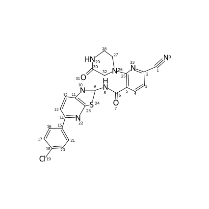 N#Cc1ccc(C(=O)Nc2nc3ccc(-c4ccc(Cl)cc4)nc3s2)c(N2CCNC(=O)C2)n1